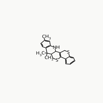 Cc1ccc2c(c1)NC1C3=C(SCC1C2(C)C)c1ccccc1SC3